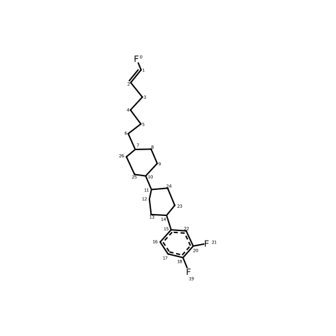 F/C=C/CCCCC1CCC(C2CCC(c3ccc(F)c(F)c3)CC2)CC1